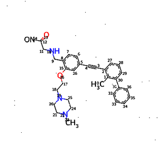 Cc1c(C#Cc2ccc(CNCC(=O)N=O)c(OCCN3CCN(C)CC3)c2)cccc1-c1ccccc1